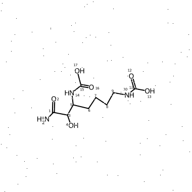 NC(=O)C(O)C(CCCCNC(=O)O)NC(=O)O